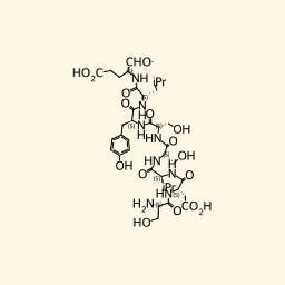 CC(C)C[C@H](NC(=O)[C@H](Cc1ccc(O)cc1)NC(=O)[C@H](CO)NC(=O)[C@H](CO)NC(=O)[C@@H](NC(=O)[C@H](CC(=O)O)NC(=O)[C@@H](N)CO)C(C)C)C(=O)N[C@H]([C]=O)CCC(=O)O